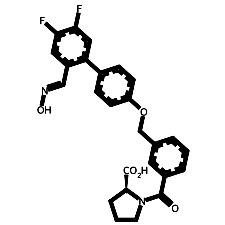 O=C(O)[C@@H]1CCCN1C(=O)c1cccc(COc2ccc(-c3cc(F)c(F)cc3C=NO)cc2)c1